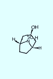 O=S(=O)(O)N1[C@@H]2CC[C@H]1C[C@H](O)C2